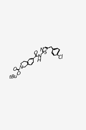 CC(C)(C)OC(=O)N1CCc2cc(C(=O)Nc3ncc(Cc4ccc(Cl)cc4)s3)ccc2C1